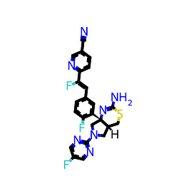 N#Cc1ccc(/C(F)=C/c2ccc(F)c([C@]34CN(c5ncc(F)cn5)C[C@H]3CSC(N)=N4)c2)nc1